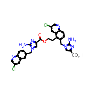 Nc1nc(C(=O)O)cn1Cc1ccc2ncc(Cl)cc2c1CCOC(=O)c1cn(Cc2ccc3ncc(Cl)cc3c2)c(N)n1